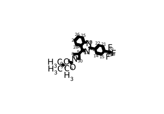 CC(C)(C)OC(=O)N1CC(c2nc(-c3ccc(C(F)(F)F)cc3)nc3ccccc23)C1